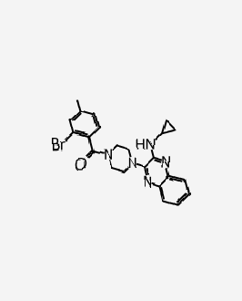 Cc1ccc(C(=O)N2CCN(c3nc4ccccc4nc3NC3CC3)CC2)c(Br)c1